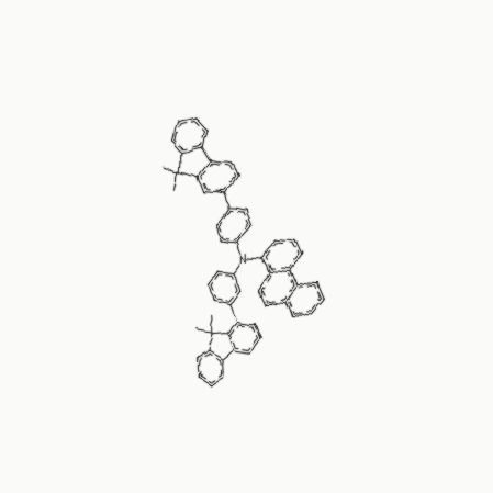 CC1(C)c2ccccc2-c2ccc(-c3ccc(N(c4cccc(-c5cccc6c5C(C)(C)c5ccccc5-6)c4)c4cccc5c4ccc4ccccc45)cc3)cc21